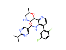 CC(C)c1ncc(C(=O)Nc2c(-c3cc(F)ccc3F)ccnc2C2CNC[C@@H](C)O2)cn1